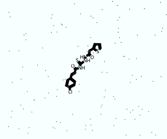 O=C(C=Cc1ccc(Cl)cc1)NC(=S)NNC(=O)Cc1cccs1